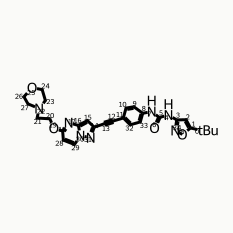 CC(C)(C)c1cc(NC(=O)Nc2ccc(C#Cc3cc4nc(OCCN5CCOCC5)ccn4n3)cc2)no1